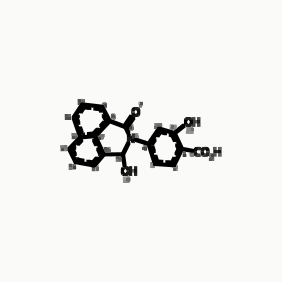 O=C(O)c1ccc(N2C(=O)c3cccc4cccc(c34)C2O)cc1O